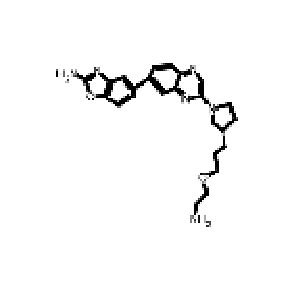 NCCOCCC[C@@H]1CCN(c2cnc3ccc(-c4ccc5oc(N)nc5c4)cc3n2)C1